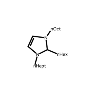 CCCCCCCCN1C=CN(CCCCCCC)C1CCCCCC